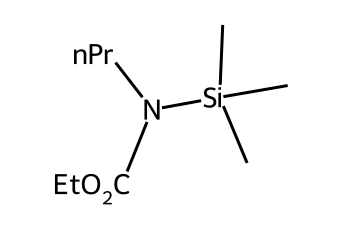 CCCN(C(=O)OCC)[Si](C)(C)C